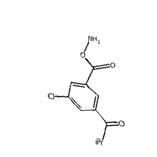 CC(C)C(=O)c1cc(Cl)cc(C(=O)ON)c1